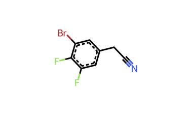 N#CCc1cc(F)c(F)c(Br)c1